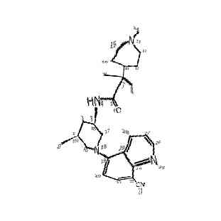 C[C@H]1C[C@@H](NC(=O)C(C)(C)C2CCN(C)CC2)CN(c2ccc(C#N)c3ncccc23)C1